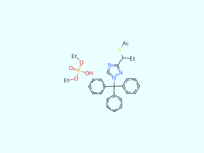 CCC(SC(C)=O)c1ncn(C(c2ccccc2)(c2ccccc2)c2ccccc2)n1.CCOP(=O)(O)OCC